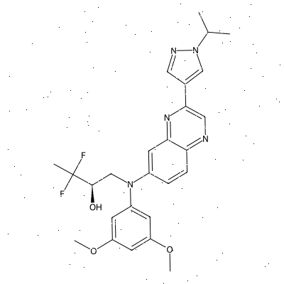 COc1cc(OC)cc(N(C[C@@H](O)C(C)(F)F)c2ccc3ncc(-c4cnn(C(C)C)c4)nc3c2)c1